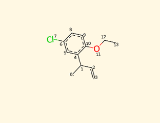 [CH2]C(C=C)c1cc(Cl)ccc1OCC